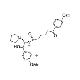 COc1ccc([C@@H](O)[C@@H](CN2CCCC2)NC(=O)CCCCC(=O)c2ccc(OCl)cc2)cc1F